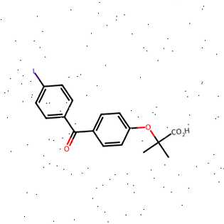 CC(C)(Oc1ccc(C(=O)c2ccc(I)cc2)cc1)C(=O)O